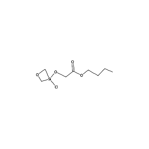 CCCCOC(=O)CO[Si]1(Cl)COC1